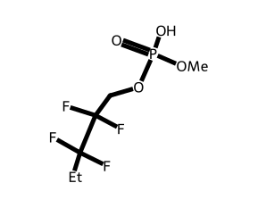 CCC(F)(F)C(F)(F)COP(=O)(O)OC